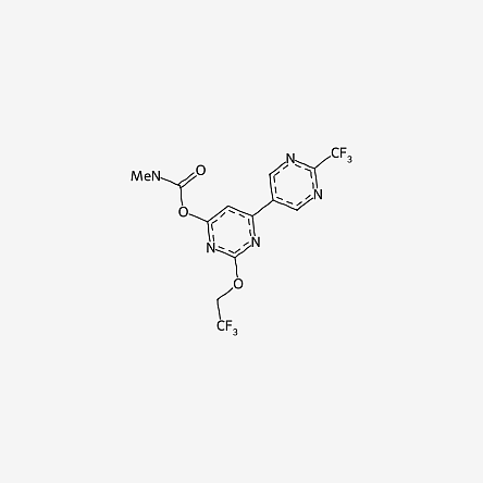 CNC(=O)Oc1cc(-c2cnc(C(F)(F)F)nc2)nc(OCC(F)(F)F)n1